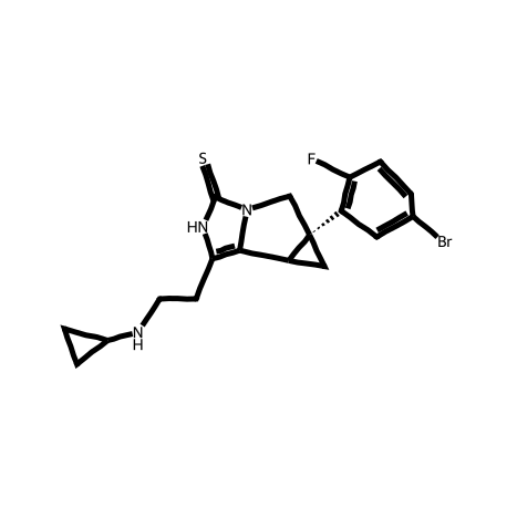 Fc1ccc(Br)cc1[C@]12CC1c1c(CCNC3CC3)[nH]c(=S)n1C2